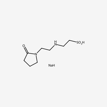 O=C1CCCN1CCNCCS(=O)(=O)O.[NaH]